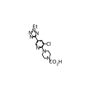 CCn1nnc(-c2cnc(N3CCN(C(=O)O)CC3)c(Cl)c2)n1